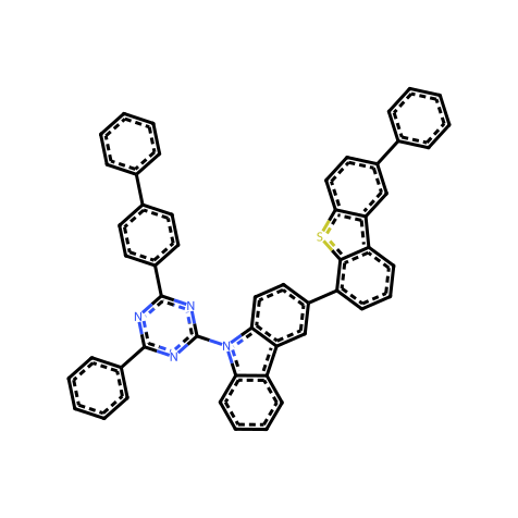 c1ccc(-c2ccc(-c3nc(-c4ccccc4)nc(-n4c5ccccc5c5cc(-c6cccc7c6sc6ccc(-c8ccccc8)cc67)ccc54)n3)cc2)cc1